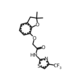 CC1(C)Cc2cccc(OCC(=O)Nc3nc(C(F)(F)F)cs3)c2O1